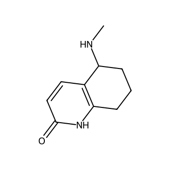 CNC1CCCc2[nH]c(=O)ccc21